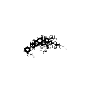 CCC(=O)OCC(=O)[C@@]1(OC(=O)CC)[C@H](C)C[C@H]2[C@H]3[C@H]([C@@H](O)C[C@@]21C)[C@@]1(C)Cc2cn(-c4cccc(C)c4)nc2C=C1C[C@H]3Cl